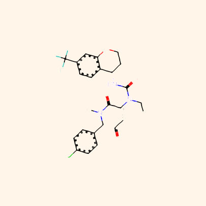 CCN(C(=O)N[C@H]1CCOc2cc(C(F)(F)F)ccc21)[C@H](CC=O)C(=O)N(C)Cc1ccc(Cl)cc1